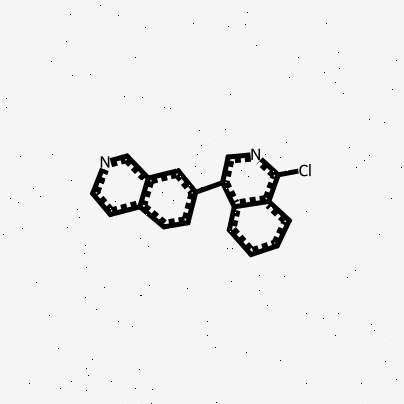 Clc1ncc(-c2ccc3ccncc3c2)c2ccccc12